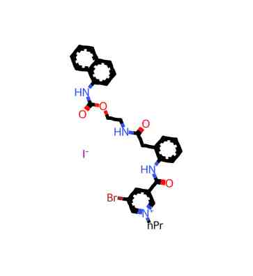 CCC[n+]1cc(Br)cc(C(=O)Nc2ccccc2CC(=O)NCCOC(=O)Nc2cccc3ccccc23)c1.[I-]